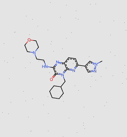 Cn1cc(-c2ccc3nc(NCCN4CCOCC4)c(=O)n(CC4CCCCC4)c3n2)cn1